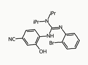 CC(C)N(C(=Nc1ccccc1Br)Nc1ccc(C#N)cc1O)C(C)C